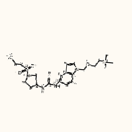 C[Si](C)(C)CCOCn1ccc2nc(NC(=O)NC3CCN(S(=O)(=O)CCC(F)(F)F)C3)cnc21